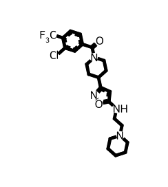 O=C(c1ccc(C(F)(F)F)c(Cl)c1)N1CCC(c2cc(NCCN3CCCCC3)on2)CC1